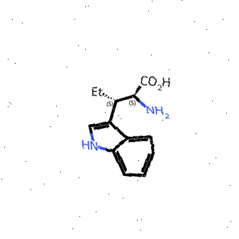 CC[C@@H](c1c[nH]c2ccccc12)[C@H](N)C(=O)O